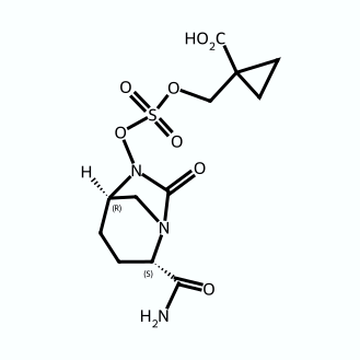 NC(=O)[C@@H]1CC[C@@H]2CN1C(=O)N2OS(=O)(=O)OCC1(C(=O)O)CC1